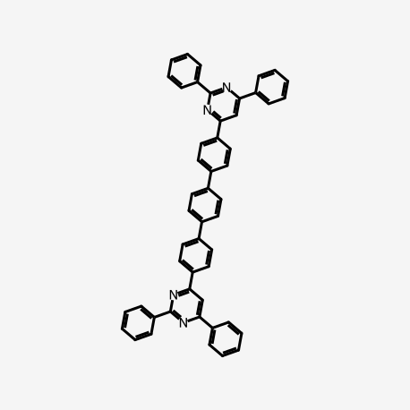 c1ccc(-c2cc(-c3ccc(-c4ccc(-c5ccc(-c6cc(-c7ccccc7)nc(-c7ccccc7)n6)cc5)cc4)cc3)nc(-c3ccccc3)n2)cc1